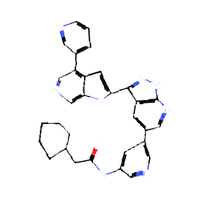 O=C(CC1CCCCC1)Nc1cncc(-c2cnc3[nH]nc(-c4cc5c(-c6cccnc6)cncc5[nH]4)c3c2)c1